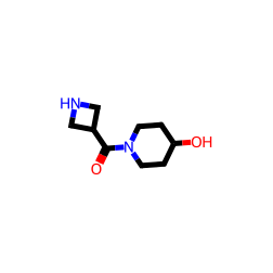 O=C(C1CNC1)N1CCC(O)CC1